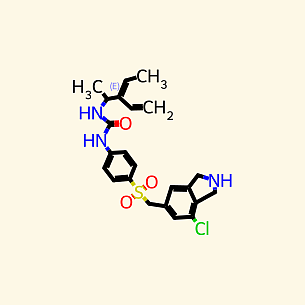 C=C/C(=C\C)C(C)NC(=O)Nc1ccc(S(=O)(=O)Cc2cc(Cl)c3c(c2)CNC3)cc1